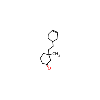 CC1(CCC2CC=CCC2)CCCC(=O)C1